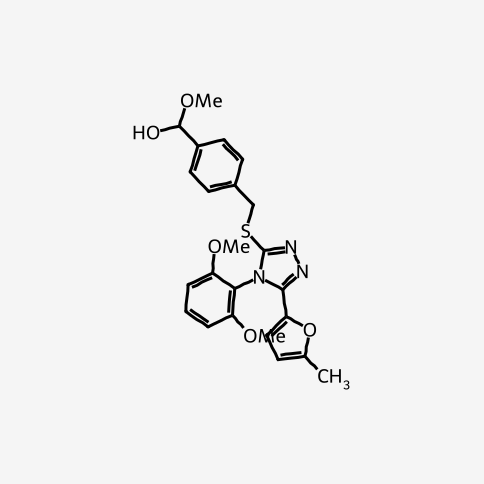 COc1cccc(OC)c1-n1c(SCc2ccc(C(O)OC)cc2)nnc1-c1ccc(C)o1